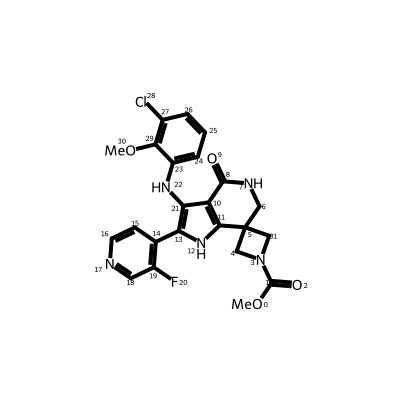 COC(=O)N1CC2(CNC(=O)c3c2[nH]c(-c2ccncc2F)c3Nc2cccc(Cl)c2OC)C1